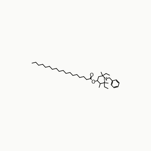 CCCCCCCCCCCCCCCCCC(=O)OC1CC(C)(CC)N(Cc2ccccc2)C(C)(CC)C1C